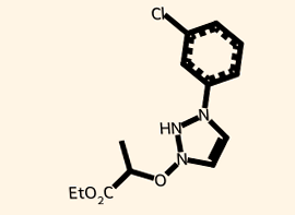 CCOC(=O)C(C)ON1C=CN(c2cccc(Cl)c2)N1